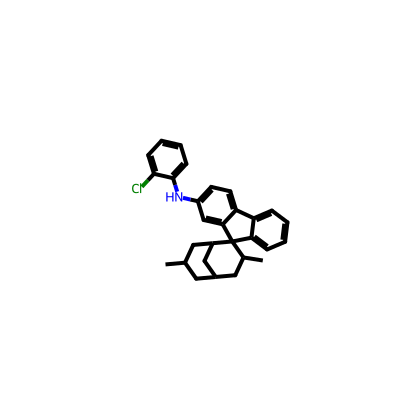 CC1CC2CC(C)C3(c4ccccc4-c4ccc(Nc5ccccc5Cl)cc43)C(C1)C2